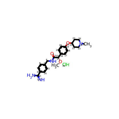 CO[C@H](C(=O)NCc1ccc(C(=N)N)cc1)c1ccc(OC2CCN(C)CC2)cc1.Cl